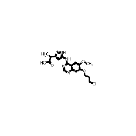 COc1cc2c(Nc3cc(C(C)C(=O)O)n[nH]3)ncnc2cc1OCCCCl